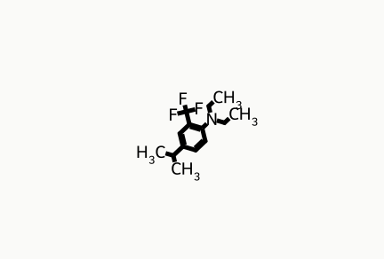 CCN(CC)c1ccc(C(C)C)cc1C(F)(F)F